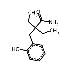 CCC(CC)(Cc1ccccc1O)C(N)=O